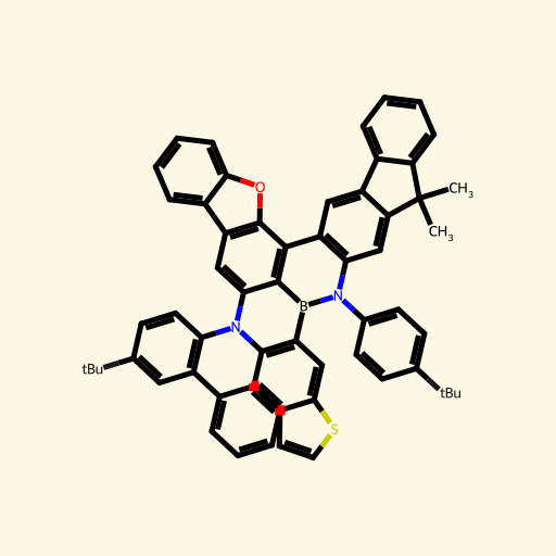 CC(C)(C)c1ccc(N2B3c4cc5sccc5cc4N(c4ccc(C(C)(C)C)cc4-c4ccccc4)c4cc5c(oc6ccccc65)c(c43)-c3cc4c(cc32)C(C)(C)c2ccccc2-4)cc1